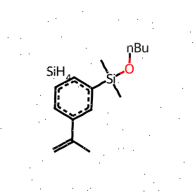 C=C(C)c1cccc([Si](C)(C)OCCCC)c1.[SiH4]